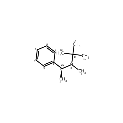 C[C@@H](c1ccccc1)N(C)C(C)(C)C